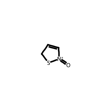 O=[N+]1C=CCS1